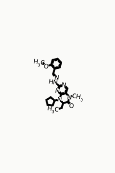 CCC1C(=O)N(C)c2cnc(NN=Cc3ccccc3OC)nc2N1C1CCCC1